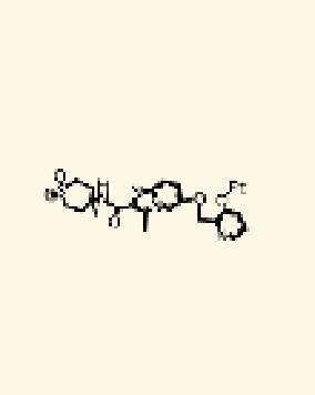 CCOc1cccnc1COc1ccc2nc(C(=O)NC3(C)CCS(=O)(=O)CC3)c(C)n2c1